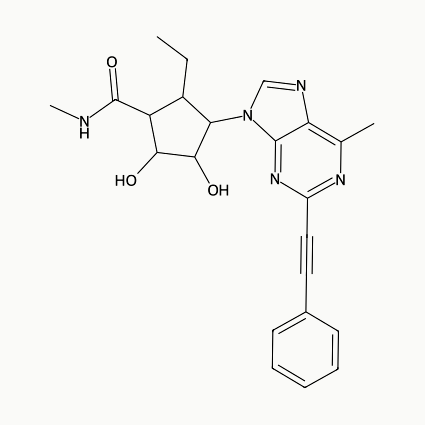 CCC1C(C(=O)NC)C(O)C(O)C1n1cnc2c(C)nc(C#Cc3ccccc3)nc21